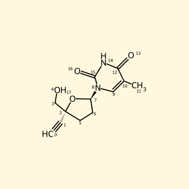 C#C[C@@]1(CO)CC[C@H](n2cc(C)c(=O)[nH]c2=O)O1